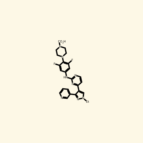 CCn1cc(-c2ccnc(Nc3cc(F)c(N4CCN(C(=O)O)CC4)c(F)c3)n2)c(-c2cccnc2)n1